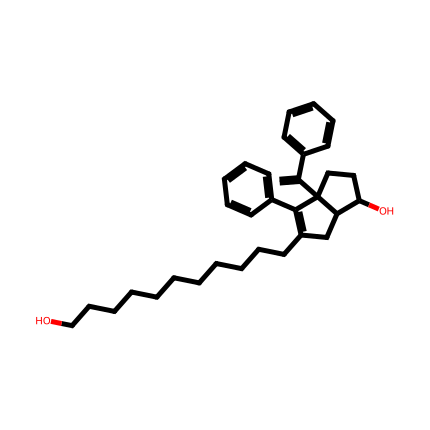 C=C(c1ccccc1)C12CCC(O)C1CC(CCCCCCCCCCCO)=C2c1ccccc1